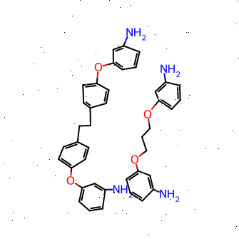 Nc1cccc(OCCCOc2cccc(N)c2)c1.Nc1cccc(Oc2ccc(CCc3ccc(Oc4cccc(N)c4)cc3)cc2)c1